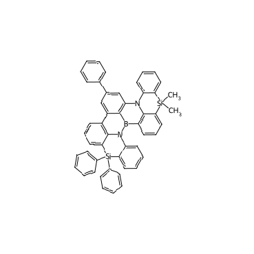 C[Si]1(C)c2ccccc2N2c3cc(-c4ccccc4)cc4c3B(c3cccc1c32)N1c2ccccc2[Si](c2ccccc2)(c2ccccc2)c2cccc-4c21